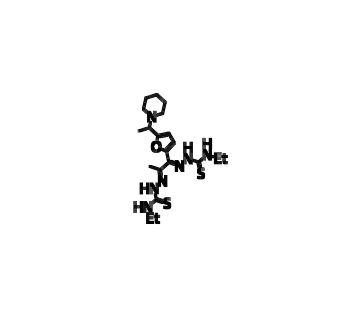 CCNC(=S)N/N=C(/C(C)=N/NC(=S)NCC)c1ccc(C(C)N2CCCCC2)o1